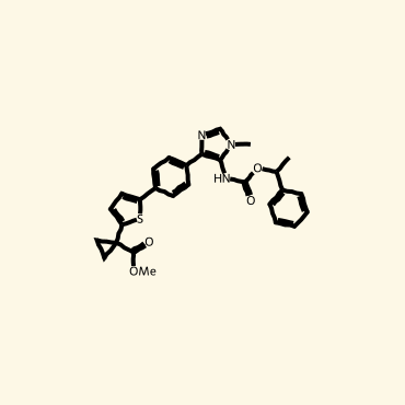 COC(=O)C1(c2ccc(-c3ccc(-c4ncn(C)c4NC(=O)OC(C)c4ccccc4)cc3)s2)CC1